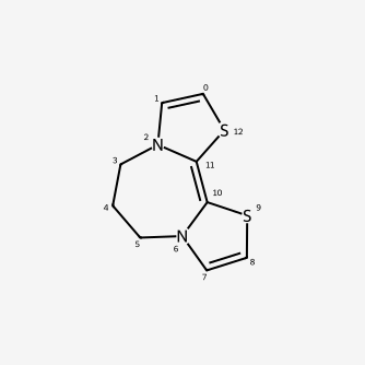 C1=CN2CCCN3C=CSC3=C2S1